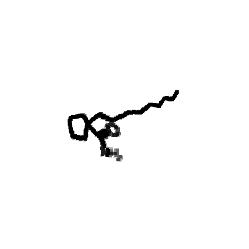 CCCCCCCCCC1(C(N)=O)CCCCC1